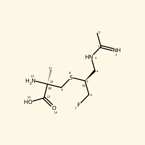 CC(=N)NC[C@@H](CF)SC[C@](C)(N)C(=O)O